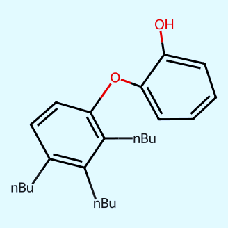 CCCCc1ccc(Oc2ccccc2O)c(CCCC)c1CCCC